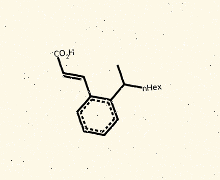 CCCCCCC(C)c1ccccc1C=CC(=O)O